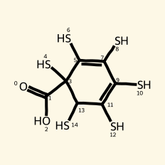 O=C(O)C1(S)C(S)=C(S)C(S)=C(S)C1S